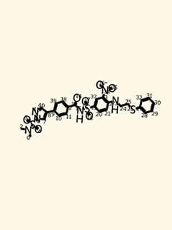 CN(C)S(=O)(=O)n1cc(-c2ccc(C(=O)NS(=O)(=O)c3ccc(NCCSc4ccccc4)c([N+](=O)[O-])c3)cc2)cn1